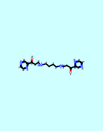 O=C(CCNCCCCNCCC(=O)c1cnccn1)c1cnccn1